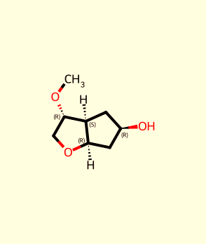 CO[C@H]1CO[C@@H]2C[C@H](O)C[C@H]12